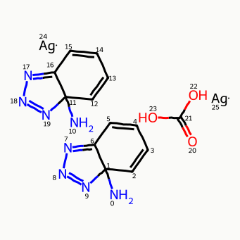 NC12C=CC=CC1=NN=N2.NC12C=CC=CC1=NN=N2.O=C(O)O.[Ag].[Ag]